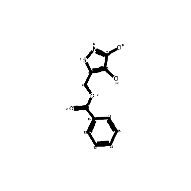 O=C(OCc1snc(Cl)c1Cl)c1ccccc1